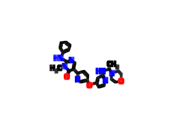 C=C(Nc1cc(Oc2ccc(-c3cnc(Nc4ccccc4)n(C)c3=O)nc2)ccn1)N1CCOCC1